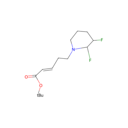 CC(C)(C)OC(=O)C=CCCN1CCCC(F)C1F